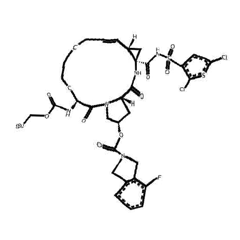 CC(C)(C)COC(=O)N[C@H]1CCCCC/C=C\[C@@H]2C[C@@]2(C(=O)NS(=O)(=O)c2cc(Cl)sc2Cl)NC(=O)[C@@H]2C[C@@H](OC(=O)N3Cc4cccc(F)c4C3)CN2C1=O